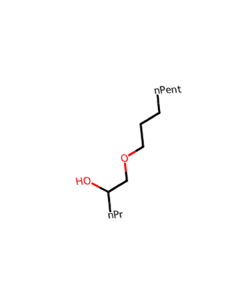 CCCCCCCCOCC(O)CCC